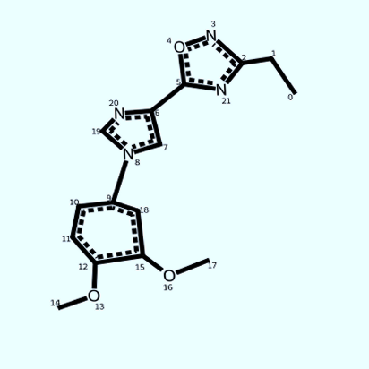 CCc1noc(-c2cn(-c3ccc(OC)c(OC)c3)cn2)n1